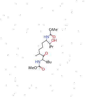 COC(=O)NC(CCCC(C)C(=O)C(NC(=O)OC)C(C)(C)C)C(O)C(C)C